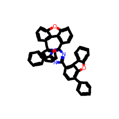 c1ccc(-c2nc(-c3ccc(-c4ccccc4)c4oc5ccccc5c34)nc(-c3cccc4oc5cccc(-c6ccccc6)c5c34)n2)cc1